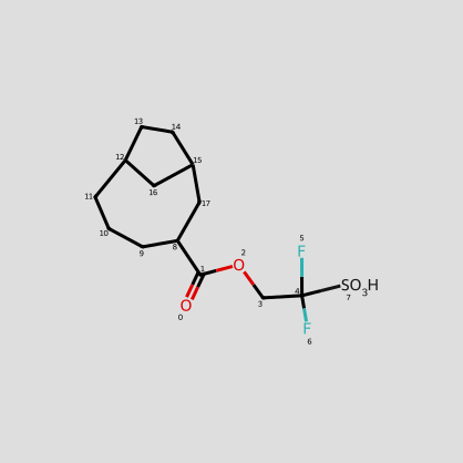 O=C(OCC(F)(F)S(=O)(=O)O)C1CCCC2CCC(C2)C1